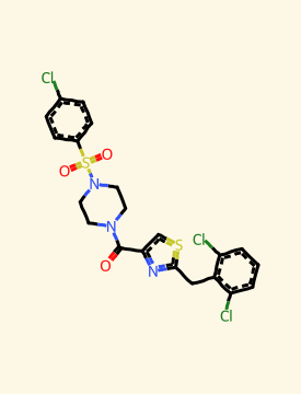 O=C(c1csc(Cc2c(Cl)cccc2Cl)n1)N1CCN(S(=O)(=O)c2ccc(Cl)cc2)CC1